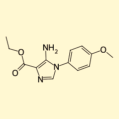 CCOC(=O)c1ncn(-c2ccc(OC)cc2)c1N